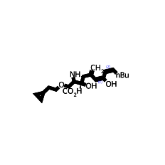 C=C(/C=C(O)\C=C/CCCC)C[C@](O)(C(=O)O)C(N)COCCC1CC1